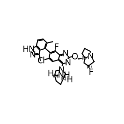 Cc1ccc2[nH]nc(C)c2c1-c1c(Cl)cc2c(N3C[C@H]4CC[C@@H](C3)N4)nc(OC[C@@]34CCCN3C[C@H](F)C4)nc2c1F